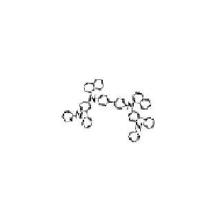 C1=CC(n2c3ccccc3c3cc(N(c4ccc(-c5ccc(N(c6ccc7c(c6)c6ccccc6n7-c6ccccc6)c6cccc7ccccc67)cc5)cc4)c4cccc5ccccc45)ccc32)=CCC1